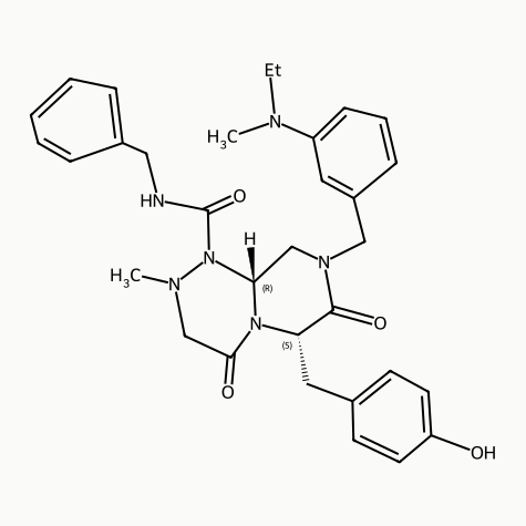 CCN(C)c1cccc(CN2C[C@@H]3N(C(=O)CN(C)N3C(=O)NCc3ccccc3)[C@@H](Cc3ccc(O)cc3)C2=O)c1